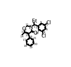 CCC(c1cc(Cl)cc(Cl)c1)N1COC(C)=C(c2ccccc2)C1=O